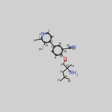 Cc1nccc(-c2ccc(OCC(C)(N)CC(C)C)c(C#N)c2)c1F